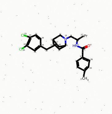 Cc1ccc(C(=O)NC(CN2CC3CCC2CC3Cc2ccc(Cl)c(Cl)c2)C(C)C)cc1